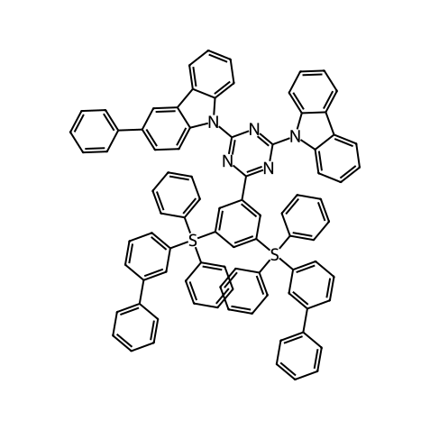 c1ccc(-c2cccc(S(c3ccccc3)(c3ccccc3)c3cc(-c4nc(-n5c6ccccc6c6ccccc65)nc(-n5c6ccccc6c6cc(-c7ccccc7)ccc65)n4)cc(S(c4ccccc4)(c4ccccc4)c4cccc(-c5ccccc5)c4)c3)c2)cc1